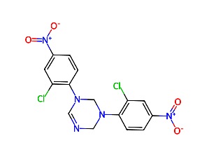 O=[N+]([O-])c1ccc(N2C=NCN(c3ccc([N+](=O)[O-])cc3Cl)C2)c(Cl)c1